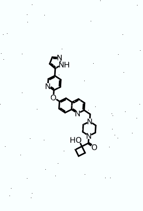 O=C(N1CCN(Cc2ccc3cc(Oc4ccc(-c5ccn[nH]5)cn4)ccc3n2)CC1)C1(O)CCC1